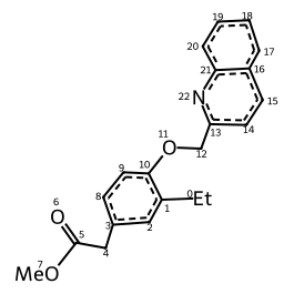 CCc1cc(CC(=O)OC)ccc1OCc1ccc2ccccc2n1